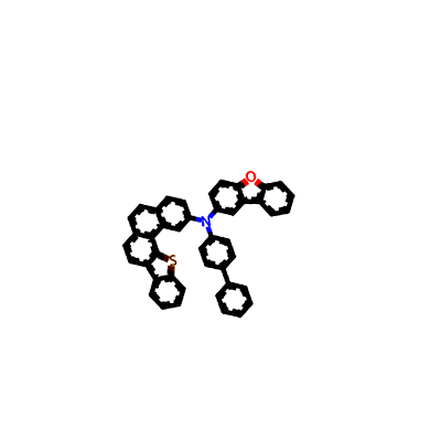 c1ccc(-c2ccc(N(c3ccc4oc5ccccc5c4c3)c3ccc4ccc5ccc6c7ccccc7sc6c5c4c3)cc2)cc1